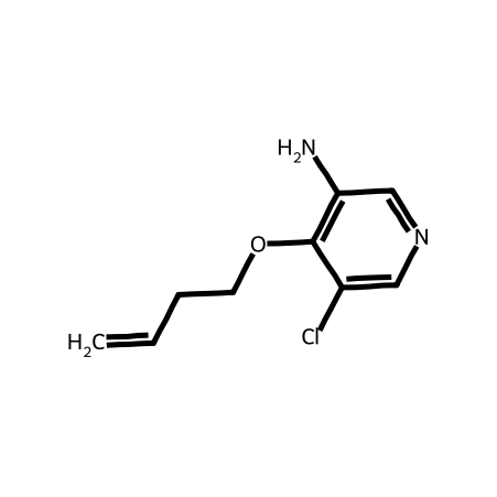 C=CCCOc1c(N)cncc1Cl